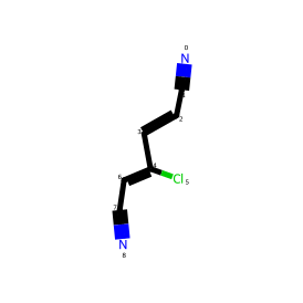 N#CC=CC(Cl)=CC#N